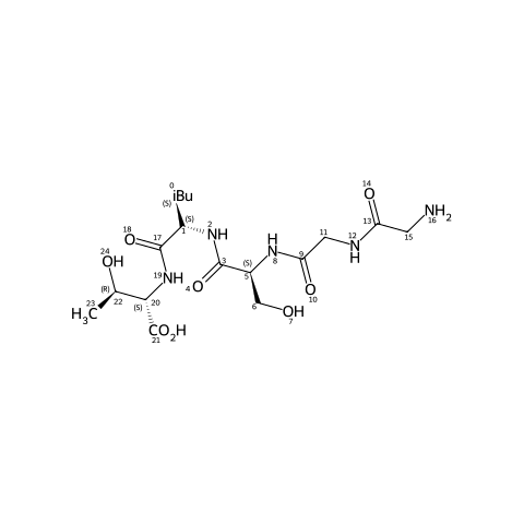 CC[C@H](C)[C@H](NC(=O)[C@H](CO)NC(=O)CNC(=O)CN)C(=O)N[C@H](C(=O)O)[C@@H](C)O